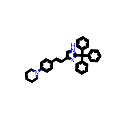 C(=Cc1c[nH]c(C(c2ccccc2)(c2ccccc2)c2ccccc2)n1)c1ccc(N2CCCCC2)cc1